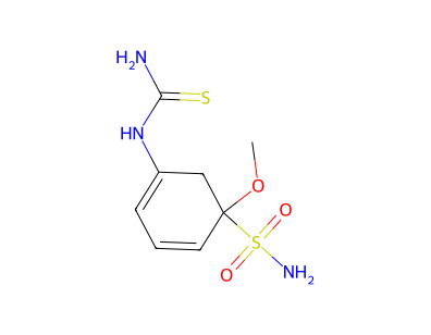 COC1(S(N)(=O)=O)C=CC=C(NC(N)=S)C1